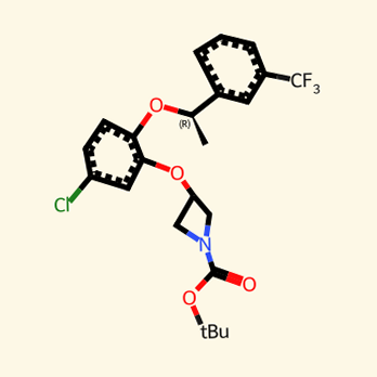 C[C@@H](Oc1ccc(Cl)cc1OC1CN(C(=O)OC(C)(C)C)C1)c1cccc(C(F)(F)F)c1